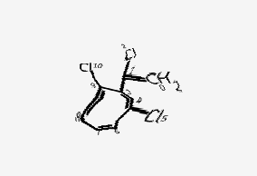 C=C(Cl)c1c(Cl)cccc1Cl